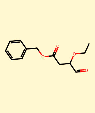 CCOC([C]=O)CC(=O)OCc1ccccc1